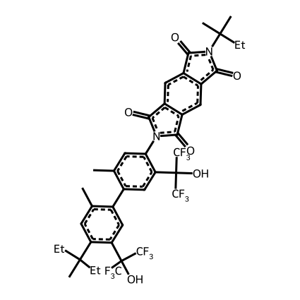 CCC(C)(CC)c1cc(C)c(-c2cc(C(O)(C(F)(F)F)C(F)(F)F)c(-n3c(=O)c4cc5c(=O)n(C(C)(C)CC)c(=O)c5cc4c3=O)cc2C)cc1C(O)(C(F)(F)F)C(F)(F)F